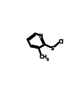 Cc1cccnc1SCl